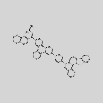 C=C/C=C(/c1ccc2c3ccc(-c4ccc(-c5nc6ccccc6c6c7c(ccc56)-c5ccccc5C7)cc4)cc3c3ccccc3c2c1)c1ccc2cccnc2c1C